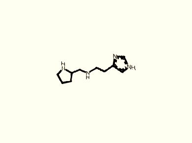 c1nc(CCNCC2CCCN2)c[nH]1